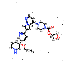 CCO[C@@]1(C2C=CC(c3cc4c(N5CCN(C(=O)OC6COC6)CC5)ccnn4c3)=NC2)CCCNC1